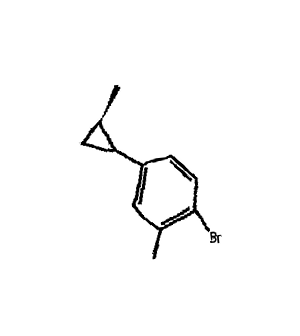 Cc1cc(C2C[C@H]2C)ccc1Br